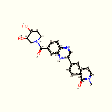 Cn1ccc2cc(-c3cnc4ccc(C(=O)N5CCC(O)C(O)C5)cc4n3)ccc2c1=O